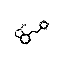 OB1OCc2cccc(CCc3nnn[nH]3)c21